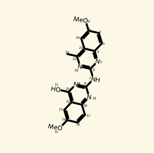 COc1ccc2nc(Nc3nc(O)c4cc(OC)ccc4n3)nc(C)c2c1